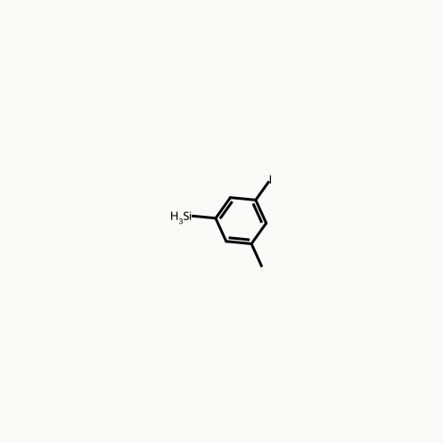 Cc1cc([SiH3])cc(I)c1